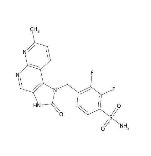 Cc1ccc2c(ncc3[nH]c(=O)n(Cc4ccc(S(N)(=O)=O)c(F)c4F)c32)n1